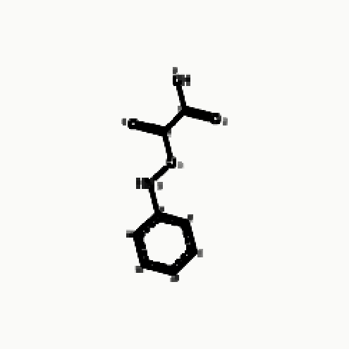 O=C(O)C(=O)ONc1ccccc1